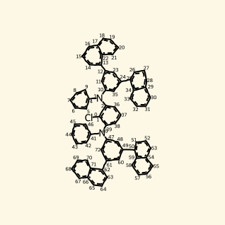 Clc1c(N(c2ccccc2)c2cc(-c3cccc4ccccc34)cc(-c3cccc4ccccc34)c2)cccc1N(c1ccccc1)c1cc(-c2cccc3ccccc23)cc(-c2cccc3ccccc23)c1